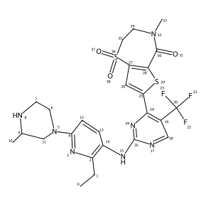 CCc1nc(N2CCNC(C)C2)ccc1Nc1ncc(C(F)(F)F)c(-c2cc3c(s2)C(=O)N(C)CCS3(=O)=O)n1